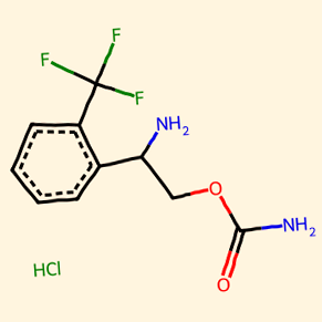 Cl.NC(=O)OCC(N)c1ccccc1C(F)(F)F